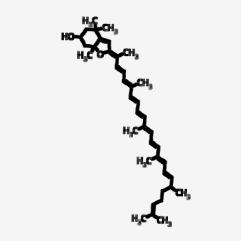 CC(C)=CCCC(C)/C=C/C=C(C)/C=C/C=C(C)/C=C/C=C/C(C)=C/C=C/C(C)=C1/C=C2C(C)(C)CC(O)CC2(C)O1